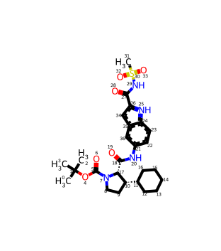 CC(C)(C)OC(=O)N1CC[C@@H](C2CCCCC2)[C@H]1C(=O)Nc1ccc2[nH]c(C(=O)NS(C)(=O)=O)cc2c1